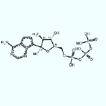 C[C@H]1[C@H](O)[C@@H](COP(=O)(O)OP(=O)(O)OP(=O)(O)O)O[C@@]1(C#N)c1ccc2c(N)ncnn12